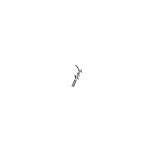 C=[N+]=NC